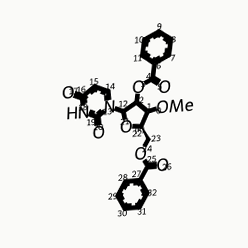 COC1C(OC(=O)c2ccccc2)C(n2ccc(=O)[nH]c2=O)O[C@@H]1COC(=O)c1ccccc1